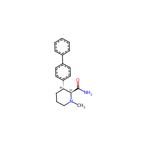 CN1CC[CH][C@H](c2ccc(-c3ccccc3)cc2)[C@H]1C(N)=O